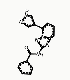 O=C(Nc1nc2cccc(-c3cn[nH]c3)n2n1)c1ccccc1